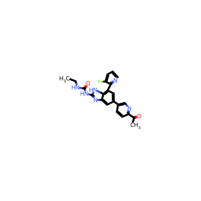 CCNC(=O)Nc1nc2cc(-c3ccc(C(C)=O)nc3)cc(-c3ncccc3F)c2[nH]1